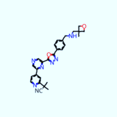 CC1(CNCc2ccc(-c3nnc(-c4cncc(-c5ccnc(C(C)(C)C#N)c5)n4)o3)cc2)COC1